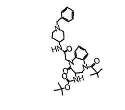 CC(C)(C)OC(=O)NC1CN(C(=O)C(C)(C)C)c2ccccc2N(CC(=O)NC2CCN(Cc3ccccc3)CC2)C1=O